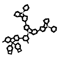 Cc1cc(-c2ccc3c(c2)C(c2ccc4c(c2)CC4)(c2ccc4c(c2)CC4)c2cc(C)ccc2-3)cc(-n2c3ccc(-c4ccc5c(c4)c4ccccc4n5-c4ccccc4)cc3c3cc(-c4ccc5c(c4)c4ccccc4n5-c4ccccc4)ccc32)c1